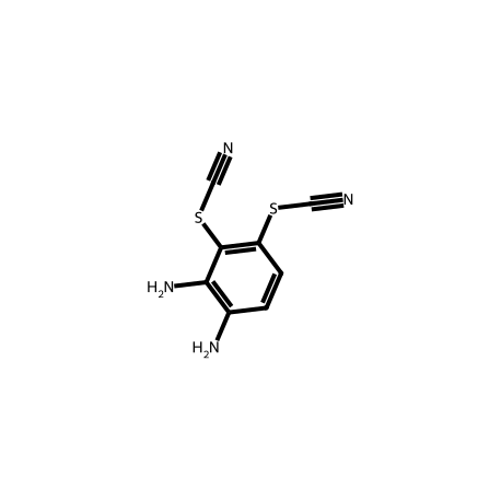 N#CSc1ccc(N)c(N)c1SC#N